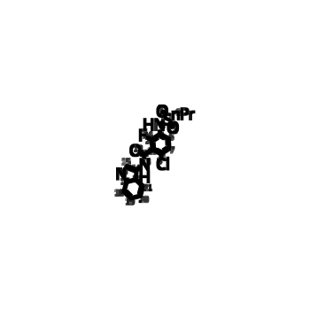 CCCS(=O)(=O)Nc1ccc(Cl)c(C(=O)NC2=CN=C3C=CC=CC23)c1F